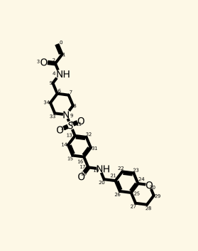 C=CC(=O)NCC1CCN(S(=O)(=O)c2ccc(C(=O)NCc3ccc4c(c3)CCCO4)cc2)CC1